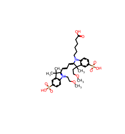 COCC[N+]1=C(/C=C/C=C2/N(CCCCCC(=O)O)c3ccc(S(=O)(=O)O)cc3C2(C)CCOC)C(C)(C)c2cc(S(=O)(=O)O)ccc21